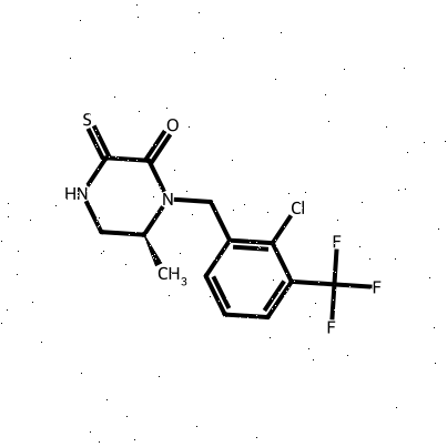 C[C@H]1CNC(=S)C(=O)N1Cc1cccc(C(F)(F)F)c1Cl